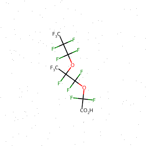 O=C(O)C(F)(F)OC(F)(F)C(F)(OC(F)(F)C(F)(F)C(F)(F)F)C(F)(F)F